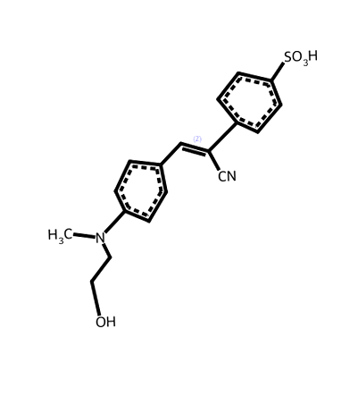 CN(CCO)c1ccc(/C=C(\C#N)c2ccc(S(=O)(=O)O)cc2)cc1